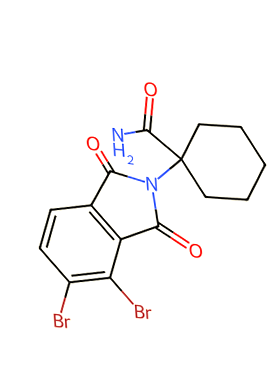 NC(=O)C1(N2C(=O)c3ccc(Br)c(Br)c3C2=O)CCCCC1